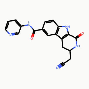 N#CCC1Cc2c([nH]c3ccc(C(=O)Nc4cccnc4)cc23)C(=O)N1